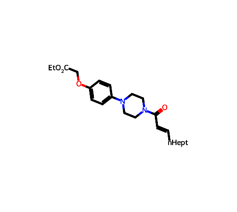 CCCCCCCC=CC(=O)N1CCN(c2ccc(OCC(=O)OCC)cc2)CC1